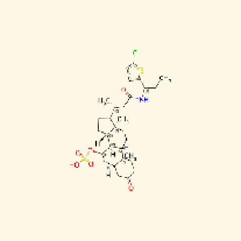 CC[C@@H](NC(=O)C[C@@H](C)C1CC[C@H]2[C@@H]3[C@H](OS(=O)(=O)O)C[C@@H]4CC(=O)CC[C@]4(C)[C@H]3CC[C@]12C)c1ccc(Cl)s1